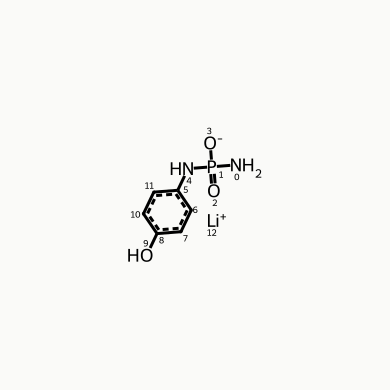 NP(=O)([O-])Nc1ccc(O)cc1.[Li+]